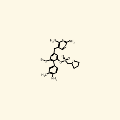 CCOc1cc(Cc2cnc(N)nc2N)cc(OS(=O)(=O)CC2CCCO2)c1-c1ccc(N)c(C)c1